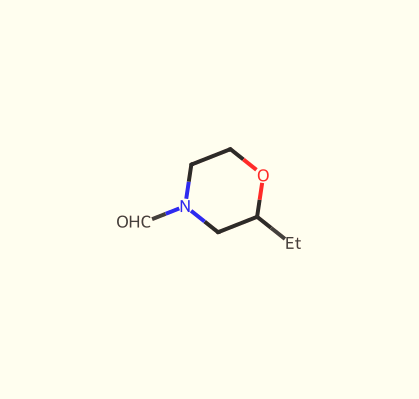 CCC1CN(C=O)CCO1